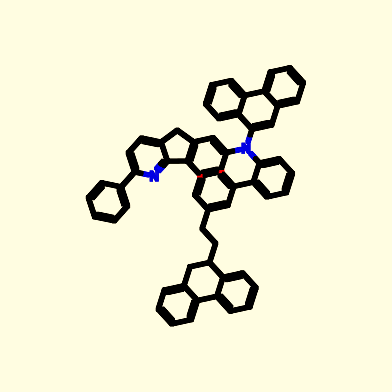 c1ccc(-c2ccc3c(n2)-c2ccc(N(c4ccccc4-c4cccc(CCC5Cc6ccccc6-c6ccccc65)c4)c4cc5ccccc5c5ccccc45)cc2C3)cc1